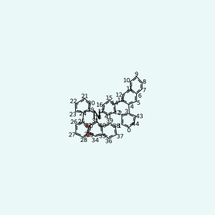 c1ccc(-c2cc3ccccc3cc2-c2ccc(N(c3ccccc3-c3ccccc3)c3cccc4ccccc34)cc2)cc1